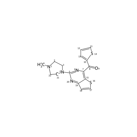 CN1CCN(c2nc(C(=O)c3cccs3)c3sccc3n2)CC1